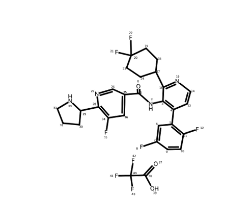 O=C(Nc1c(-c2cc(F)ccc2F)ccnc1C1CCC(F)(F)CC1)c1cnc(C2CCCN2)c(F)c1.O=C(O)C(F)(F)F